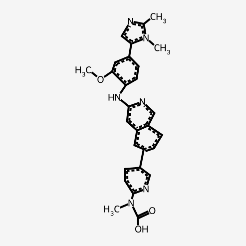 COc1cc(-c2cnc(C)n2C)ccc1Nc1cc2cc(-c3ccc(N(C)C(=O)O)nc3)ccc2cn1